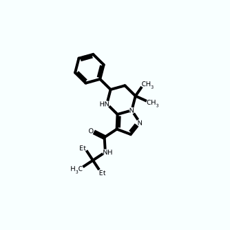 CCC(C)(CC)NC(=O)c1cnn2c1NC(c1ccccc1)CC2(C)C